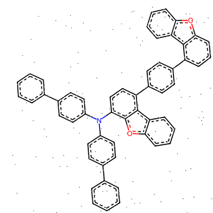 c1ccc(-c2ccc(N(c3ccc(-c4ccccc4)cc3)c3ccc(-c4ccc(-c5cccc6oc7ccccc7c56)cc4)c4c3oc3ccccc34)cc2)cc1